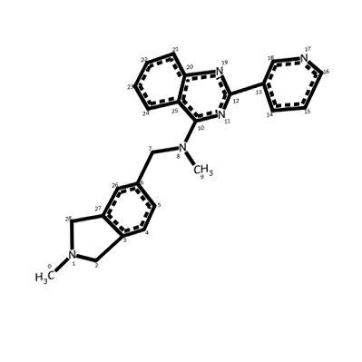 CN1Cc2ccc(CN(C)c3nc(-c4cccnc4)nc4ccccc34)cc2C1